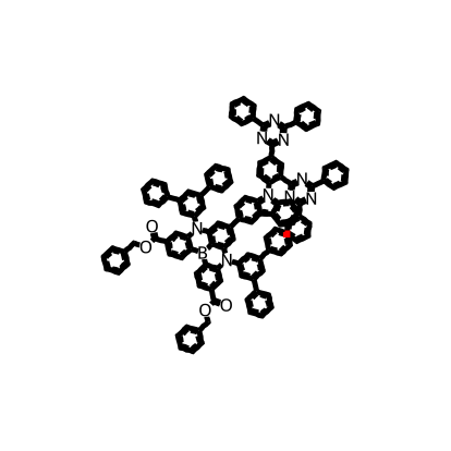 O=C(OCc1ccccc1)c1ccc2c(c1)N(c1cc(-c3ccccc3)cc(-c3ccccc3)c1)c1cc(-c3ccc4c(c3)c3ccccc3n4-c3ccc(-c4nc(-c5ccccc5)nc(-c5ccccc5)n4)cc3-c3nc(-c4ccccc4)nc(-c4ccccc4)n3)cc3c1B2c1ccc(C(=O)OCc2ccccc2)cc1N3c1cc(-c2ccccc2)cc(-c2ccccc2)c1